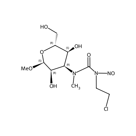 CO[C@H]1O[C@H](CO)[C@@H](O)[C@@H](N(C)C(=O)N(CCCl)N=O)[C@H]1O